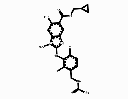 Cn1c(Nc2c(Cl)ccc(CNC(=O)C(C)(C)C)c2Cl)nc2cc(C(=O)NCC3CC3)c(O)cc21